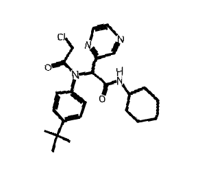 CC(C)(C)c1ccc(N(C(=O)CCl)C(C(=O)NC2CCCCC2)c2cnccn2)cc1